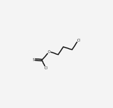 S=C(Cl)OCCCCl